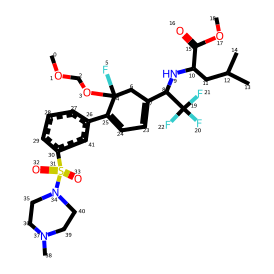 COCOC1(F)CC(C(NC(CC(C)C)C(=O)OC)C(F)(F)F)=CC=C1c1cccc(S(=O)(=O)N2CCN(C)CC2)c1